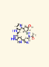 CCC(=O)Nc1cncc(-c2cc3c(-c4cc5c(-c6cc(F)cc(OC)c6)nccc5[nH]4)n[nH]c3cn2)c1